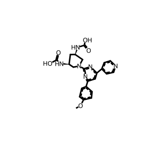 COc1ccc(-c2cc(-c3ccncc3)nc(N3C[C@H](NC(=O)O)C[C@H](NC(=O)O)C3)n2)cc1